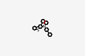 c1ccc(-c2ccc(N(c3ccccc3)c3cc4sc5ccccc5c4cc3-c3ccccc3)cc2)cc1